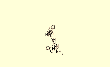 Bc1cnn2c(NCCCCNS(=O)(=O)c3ccc(Cl)s3)cc(-c3ccccc3Cl)nc12